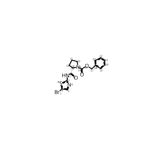 O=C(Nc1ncc(Br)s1)[C@@H]1CCCN1C(=O)OCc1ccccc1